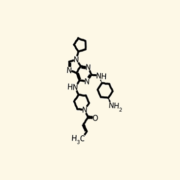 CC=CC(=O)N1CCC(Nc2nc(N[C@H]3CC[C@H](N)CC3)nc3c2ncn3C2CCCC2)CC1